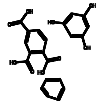 O=C(O)c1ccc(C(=O)O)c(C(=O)O)c1.Oc1cc(O)cc(O)c1.c1ccccc1